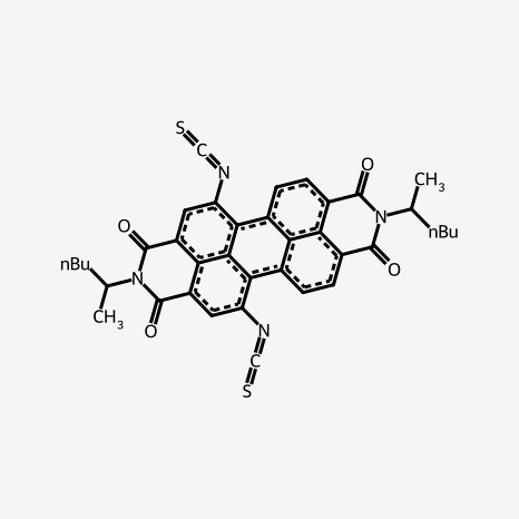 CCCCC(C)N1C(=O)c2ccc3c4c(N=C=S)cc5c6c(cc(N=C=S)c(c7ccc(c2c37)C1=O)c64)C(=O)N(C(C)CCCC)C5=O